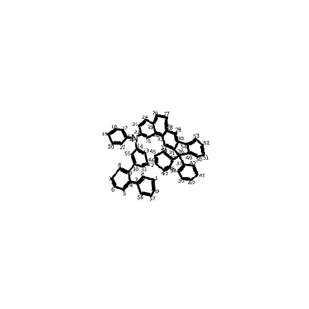 c1ccc(-c2ccccc2-c2cccc(N(c3ccccc3)c3ccc4ccc5cc6c(cc5c4c3)C(c3ccccc3)(c3ccccc3)c3ccccc3-6)c2)cc1